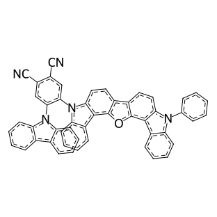 N#Cc1cc(-n2c3ccccc3c3ccccc32)c(-n2c3ccccc3c3c4oc5c(ccc6c5c5ccccc5n6-c5ccccc5)c4ccc32)cc1C#N